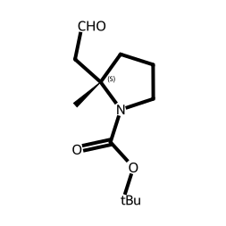 CC(C)(C)OC(=O)N1CCC[C@@]1(C)CC=O